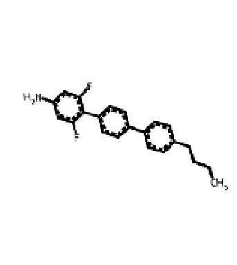 CCCCc1ccc(-c2ccc(-c3c(F)cc(N)cc3F)cc2)cc1